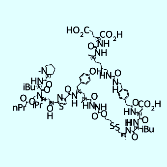 CCCC(=O)OCN(C(=O)[C@@H](NC(=O)[C@H]1CCCCN1C)C(C)CC)[C@H](C[C@@H](O)c1nc(C(=O)N[C@@H](Cc2ccc(O)cc2)C[C@H](C)C(=O)NNC(=O)OCCSSC[C@@H](C)NC(=O)[C@@H](NC(=O)[C@H](CC(=O)O)NC(=O)Cc2ccc(CNC(=O)NCCCC[C@@H](C)NC(=O)N[C@@H](CCC(=O)O)C(=O)O)cc2)C(C)CC)cs1)C(C)C